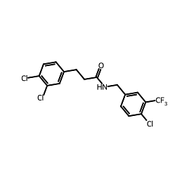 O=C(CCc1ccc(Cl)c(Cl)c1)NCc1ccc(Cl)c(C(F)(F)F)c1